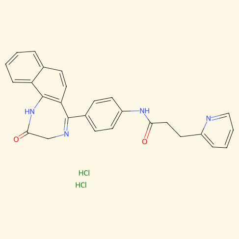 Cl.Cl.O=C(CCc1ccccn1)Nc1ccc(C2=NCC(=O)Nc3c2ccc2ccccc32)cc1